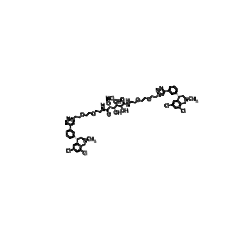 CN1Cc2c(Cl)cc(Cl)cc2[C@H](c2cccc(-c3cn(CCOCCOCCNC(=O)[C@@H](O)[C@H](O)[C@H](O)[C@@H](O)C(=O)NCCOCCOCCn4cc(-c5cccc([C@@H]6CN(C)Cc7c(Cl)cc(Cl)cc76)c5)nn4)nn3)c2)C1.Cl